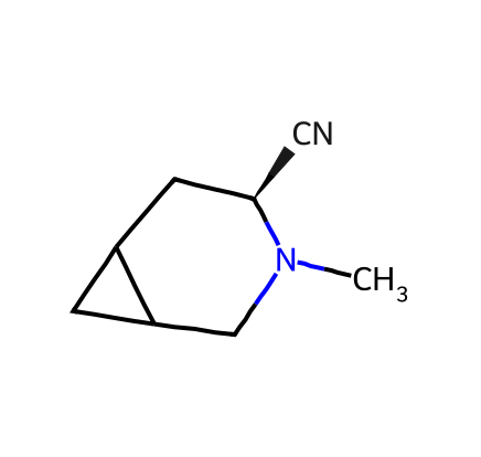 CN1CC2CC2C[C@H]1C#N